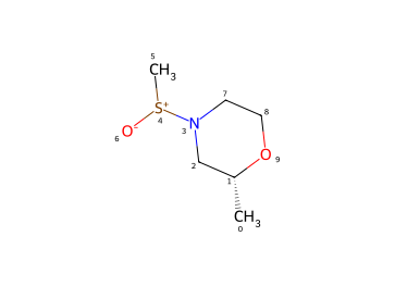 C[C@@H]1CN([S+](C)[O-])CCO1